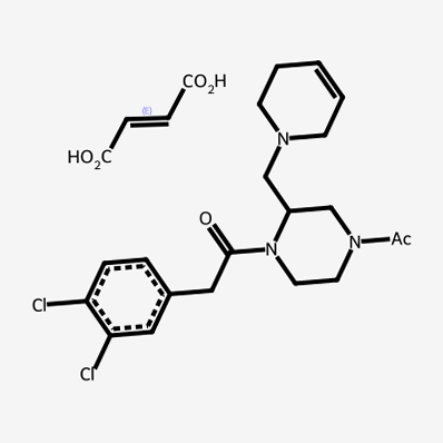 CC(=O)N1CCN(C(=O)Cc2ccc(Cl)c(Cl)c2)C(CN2CC=CCC2)C1.O=C(O)/C=C/C(=O)O